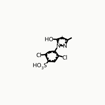 Cc1[c]c(O)n(-c2cc(Cl)c(S(=O)(=O)O)cc2Cl)n1